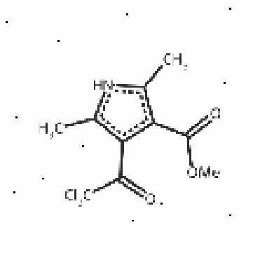 COC(=O)c1c(C)[nH]c(C)c1C(=O)C(Cl)(Cl)Cl